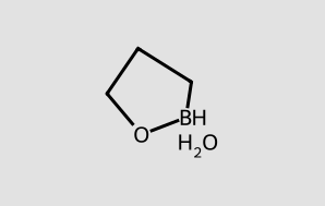 B1CCCO1.O